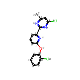 CCCc1cc(Cl)nc(-c2cccc(Oc3ccccc3Cl)n2)n1